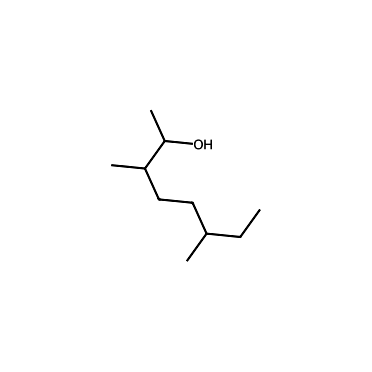 CCC(C)CCC(C)C(C)O